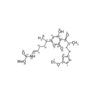 CCOc1ccc(CCC(C)C(=O)c2c(O)cc(C(C)CC/C=C/NC(=O)OC)oc2=O)s1